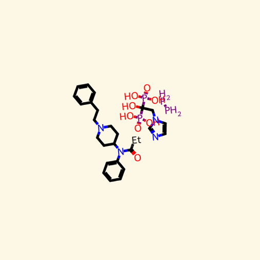 CCC(=O)N(c1ccccc1)C1CCN(CCc2ccccc2)CC1.O=P(O)(O)C(O)(Cn1ccnc1)P(=O)(O)O.PP